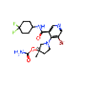 C[C@]1(OC(N)=O)CCN(c2c(Br)cncc2C(=O)NC2CCC(F)(F)CC2)C1